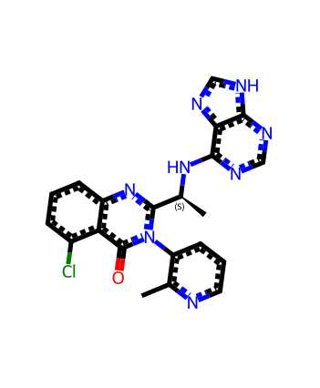 Cc1ncccc1-n1c([C@H](C)Nc2ncnc3[nH]cnc23)nc2cccc(Cl)c2c1=O